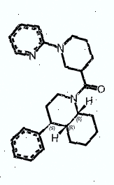 O=C(C1CCCN(c2ccccn2)C1)N1CC[C@H](c2ccccc2)[C@H]2CCCC[C@H]21